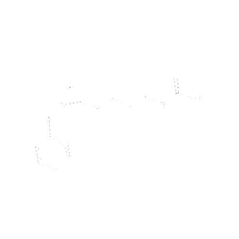 O=C(O)NCCCCC1CN1Cc1ccccc1